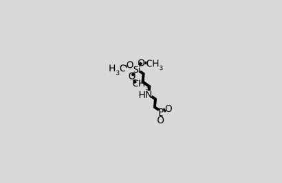 CO[Si](CCCNCCP(=O)=O)(OC)OC